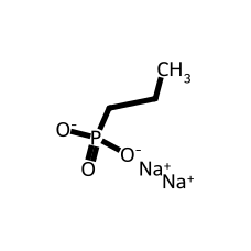 CCCP(=O)([O-])[O-].[Na+].[Na+]